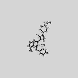 Cc1c(-c2cc(Sc3ccc(F)cc3C#N)c3c(C#N)cnn3c2)cnn1C1CCC(CO)CC1